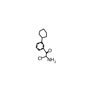 NC(Cl)C(=O)c1cccc(C2CCCCC2)c1